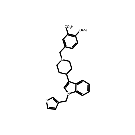 COc1ccc(CN2CCC(c3cn(Cc4ccsc4)c4ccccc34)CC2)cc1C(=O)O